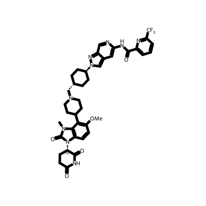 COc1ccc2c(c1C1CCN(C[C@H]3CC[C@H](n4cc5cc(NC(=O)c6cccc(C(F)(F)F)n6)ncc5n4)CC3)CC1)n(C)c(=O)n2[C@H]1CCC(=O)NC1=O